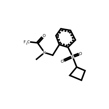 CN(Cc1ccccc1S(=O)(=O)C1CCC1)C(=O)C(F)(F)F